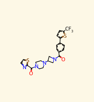 O=C(c1ccc(-c2ccc(C(F)(F)F)s2)cc1)N1CC(N2CCN(C(=O)c3nccs3)CC2)C1